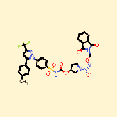 Cc1ccc(-c2cc(C(F)(F)F)nn2-c2ccc(S(=O)(=O)NC(=O)OC3CCN(/[N+]([O-])=N\OCN4C(=O)c5ccccc5C4=O)C3)cc2)cc1